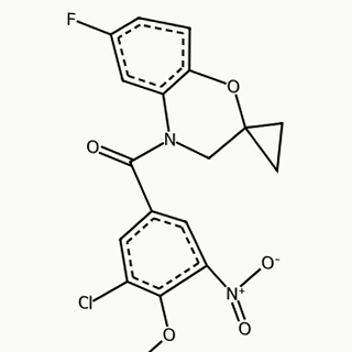 COc1c(Cl)cc(C(=O)N2CC3(CC3)Oc3ccc(F)cc32)cc1[N+](=O)[O-]